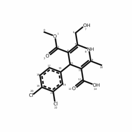 COC(=O)C1=C(CO)NC(C)=C(C(=O)O)C1c1ccc(Cl)c(Cl)c1